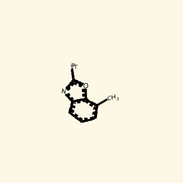 Cc1cccc2nc(C(C)C)oc12